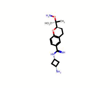 C[C@@](ON)(C(=O)O)[C@H]1CCc2cc(C(=N)N[C@H]3C[C@@H](N)C3)ccc2O1